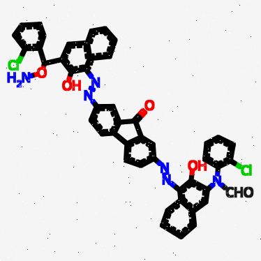 NOC(c1ccccc1Cl)c1cc2ccccc2c(N=Nc2ccc3c(c2)C(=O)c2cc(N=Nc4c(O)c(N(C=O)c5ccccc5Cl)cc5ccccc45)ccc2-3)c1O